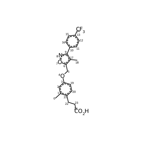 Cc1cc(OCc2onc(-c3ccc(C(F)(F)F)cc3)c2C)ccc1CCC(=O)O